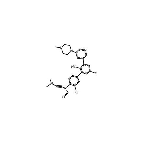 CN(C)C#CN(C=O)c1ccc(-c2cc(F)cc(-c3cncc(N4CCN(C)CC4)c3)c2O)cc1Cl